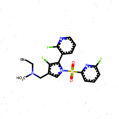 CC(C)(C)CN(Cc1cn(S(=O)(=O)c2cccc(F)n2)c(-c2cccnc2F)c1F)C(=O)O